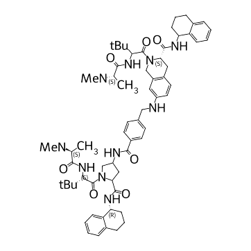 CN[C@@H](C)C(=O)NC(C(=O)N1Cc2cc(NCc3ccc(C(=O)NC4CC(C(=O)N[C@@H]5CCCc6ccccc65)N(C(=O)[C@@H](NC(=O)[C@H](C)NC)C(C)(C)C)C4)cc3)ccc2C[C@H]1C(=O)NC1CCCc2ccccc21)C(C)(C)C